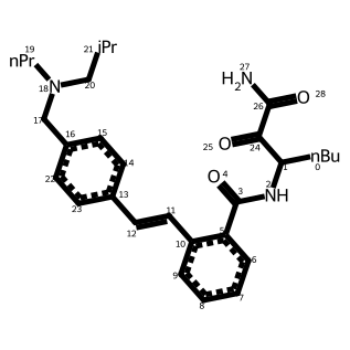 CCCCC(NC(=O)c1ccccc1C=Cc1ccc(CN(CCC)CC(C)C)cc1)C(=O)C(N)=O